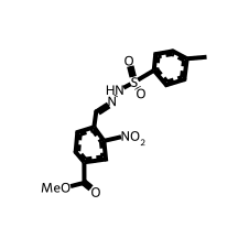 COC(=O)c1ccc(C=NNS(=O)(=O)c2ccc(C)cc2)c([N+](=O)[O-])c1